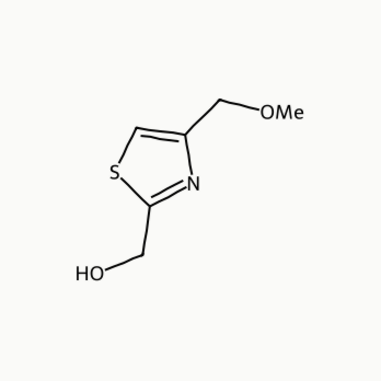 COCc1csc(CO)n1